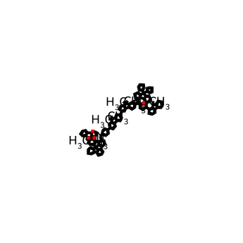 CC1(C)c2cc(-c3ccc(N(c4ccc5c(c4)C(C)(C)c4ccccc4-5)c4cccc5c4-c4ccccc4C5(c4ccccc4)c4ccccc4)cc3)ccc2-c2ccc(-c3ccc4c(c3)-c3ccc(N(c5ccc(-c6cccc7c6C(C)(C)c6ccccc6-7)cc5)c5cccc6c5-c5ccccc5C6(c5ccccc5)c5ccccc5)cc3C4(C)C)cc21